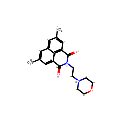 O=C1c2cc([N+](=O)[O-])cc3cc([N+](=O)[O-])cc(c23)C(=O)N1CCN1CCOCC1